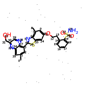 Cc1cc(-c2nc3c(C)cc(OCCc4ccccc4S(N)(=O)=O)cc3s2)c2ncc(CO)nc2c1